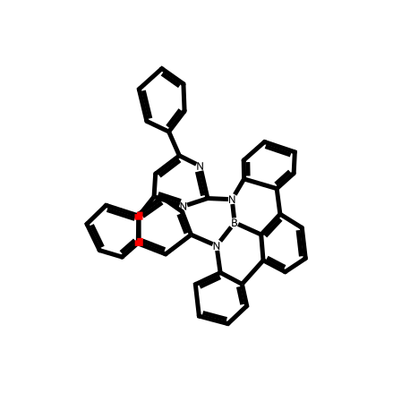 c1ccc(-c2cc(-c3ccccc3)nc(N3B4c5c(cccc5-c5ccccc53)-c3ccccc3N4c3ccccc3)n2)cc1